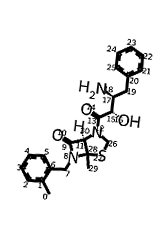 Cc1ccccc1CN1C(=O)[C@H]2N(C(=O)[C@@H](O)[C@@H](N)Cc3ccccc3)CSC21C